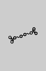 C1=CCCC(N(C2=CCCC=C2)c2ccc(/C=C/c3ccc(-c4ccc(/C=C/C5=CCC(N(c6ccccc6)c6ccccc6)C=C5)cc4)cc3)cc2)=C1